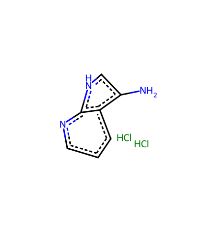 Cl.Cl.Nc1c[nH]c2ncccc12